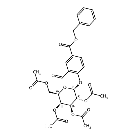 CC(=O)OC[C@H]1O[C@@H](Oc2ccc(C(=O)OCc3ccccc3)cc2C=O)[C@H](OC(C)=O)[C@@H](OC(C)=O)[C@H]1OC(C)=O